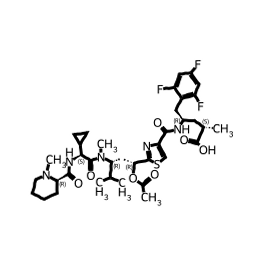 CC(=O)O[C@H](C[C@H](C(C)C)N(C)C(=O)[C@@H](NC(=O)[C@H]1CCCCN1C)C1CC1)c1nc(C(=O)N[C@@H](Cc2c(F)cc(F)cc2F)C[C@H](C)C(=O)O)cs1